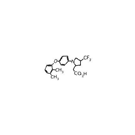 Cc1cccc(Oc2ccc(N3CC(C(F)(F)F)CC3CC(=O)O)cc2)c1C